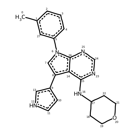 Cc1cccc(-n2cc(-c3cc[nH]c3)c3c(NC4CCOCC4)ncnc32)c1